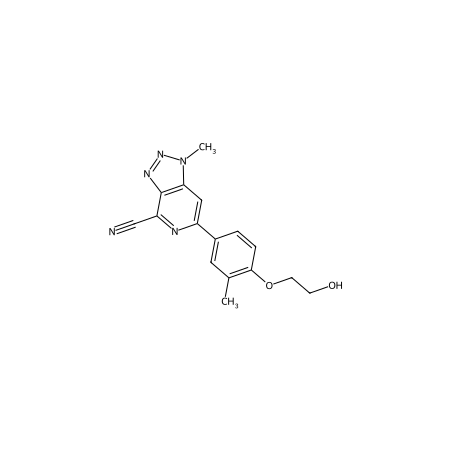 Cc1cc(-c2cc3c(nnn3C)c(C#N)n2)ccc1OCCO